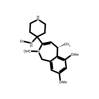 CCNC1(C2=C[C@H](C)c3c(cc(OC)cc3OC)CN2C=O)CCNCC1